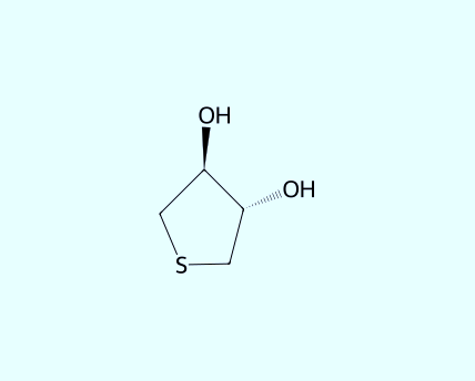 O[C@@H]1CSC[C@H]1O